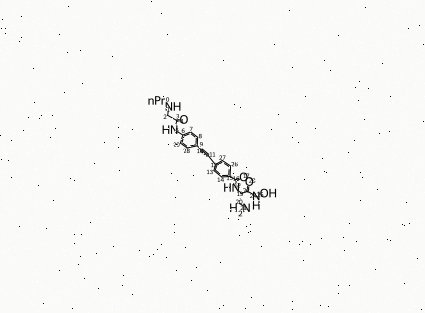 CCCNCC(=O)Nc1ccc(C#Cc2ccc(C(=O)N[C@@H](CN)C(=O)NO)cc2)cc1